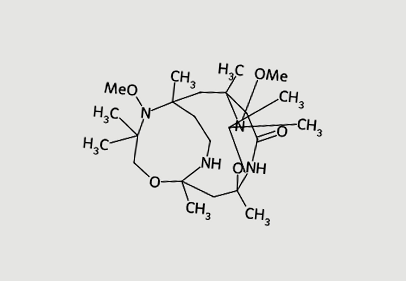 CON1C(C)(C)COC2(C)CC3(C)NC(=O)CC(C)(CC1(C)CCN2)N(OC)C(C)(C)CO3